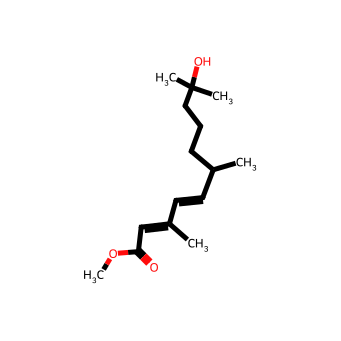 COC(=O)/C=C(C)/C=C/C(C)CCCC(C)(C)O